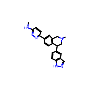 CNc1ccc(-c2ccc3c(c2)CN(C)CC3c2ccc3[nH]ncc3c2)nn1